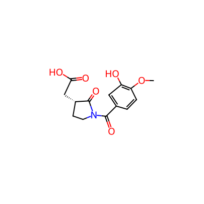 COc1ccc(C(=O)N2CC[C@H](CC(=O)O)C2=O)cc1O